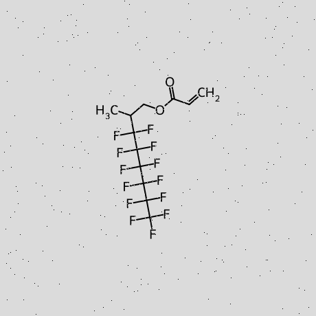 C=CC(=O)OCC(C)C(F)(F)C(F)(F)C(F)(F)C(F)(F)C(F)(F)C(F)(F)F